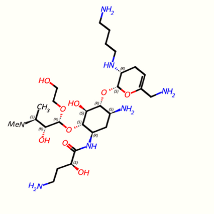 CN[C@@H](C)[C@@H](O)[C@H](OCCO)O[C@@H]1[C@@H](O)[C@H](O[C@H]2OC(CN)=CC[C@H]2NCCCCN)[C@@H](N)C[C@H]1NC(=O)[C@@H](O)CCN